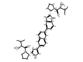 CC(C)[C@H](N)C(=O)N1CCC[C@H]1c1nc(-c2ccc3cc(-c4ccc5[nH]c([C@@H]6CCCN6C(=O)[C@@H](N)C(C)C)nc5c4)ccc3c2)c[nH]1